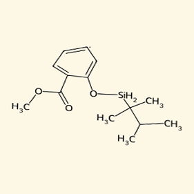 COC(=O)c1cc[c]cc1O[SiH2]C(C)(C)C(C)C